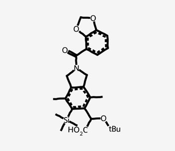 Cc1c2c(c(C)c([Si](C)(C)C)c1C(OC(C)(C)C)C(=O)O)CN(C(=O)c1cccc3c1OCO3)C2